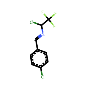 FC(F)(F)C(Cl)N=[C]c1ccc(Cl)cc1